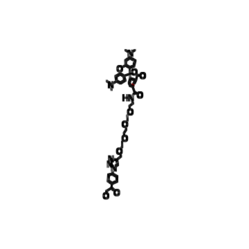 CN(C)c1ccc2c(c1)Oc1cc(N(C)C)ccc1C21OC(=O)c2cc(C(=O)NCCOCCOCCOCCOCc3cn(-c4ccc(C(=O)C=O)cc4)nn3)ccc21